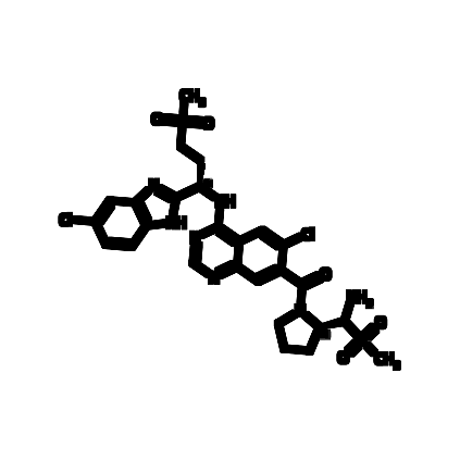 CS(=O)(=O)CC[C@H](Nc1ncnc2cc(C(=O)N3CCC[C@@H]3C(N)S(C)(=O)=O)c(Cl)cc12)c1nc2cc(Cl)ccc2[nH]1